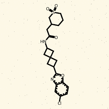 O=C(CC1CCCS(=O)(=O)C1)NC1CC2(C1)CC(c1nc3cc(Cl)ccc3o1)C2